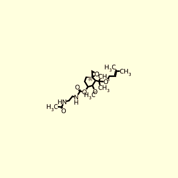 COC1C(OC(=O)NCCNC(C)=O)CC[C@]2(CO2)C1C(C)(C)OCC=C(C)C